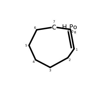 C1=CCCCCCC1.[PoH2]